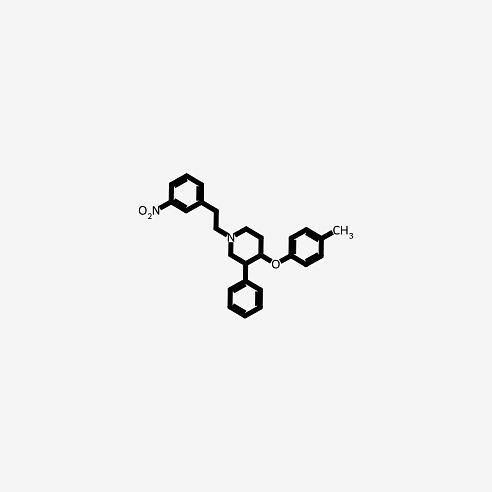 Cc1ccc(OC2CCN(CCc3cccc([N+](=O)[O-])c3)CC2c2ccccc2)cc1